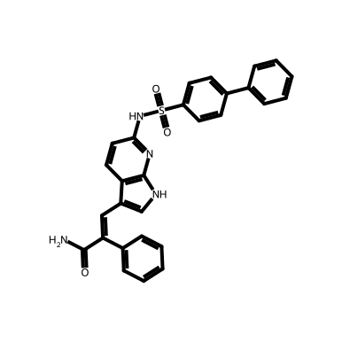 NC(=O)/C(=C/c1c[nH]c2nc(NS(=O)(=O)c3ccc(-c4ccccc4)cc3)ccc12)c1ccccc1